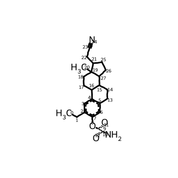 CCc1cc2c(cc1OS(N)(=O)=O)CCC1C2CCC2(C)C(CC#N)CCC12